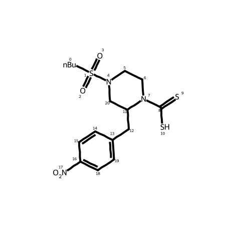 CCCCS(=O)(=O)N1CCN(C(=S)S)C(Cc2ccc([N+](=O)[O-])cc2)C1